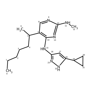 CCCCCC(C)c1cnc(NC)nc1Nc1cc(C2CC2)[nH]n1